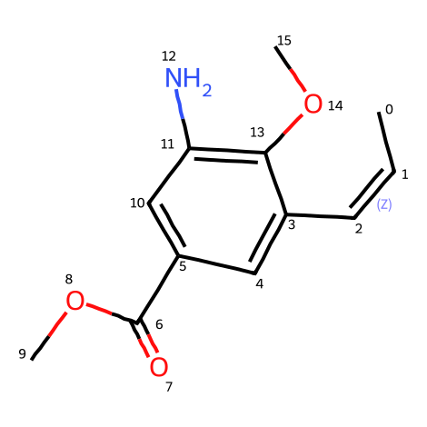 C/C=C\c1cc(C(=O)OC)cc(N)c1OC